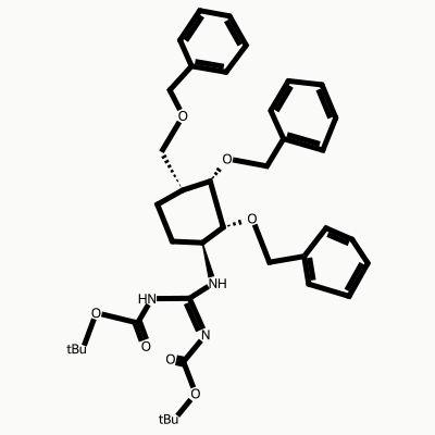 CC(C)(C)OC(=O)/N=C(\NC(=O)OC(C)(C)C)N[C@H]1CC[C@H](COCc2ccccc2)[C@H](OCc2ccccc2)[C@@H]1OCc1ccccc1